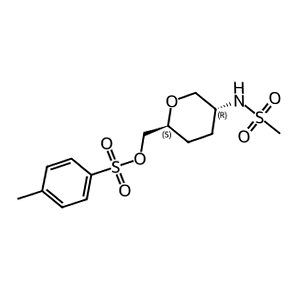 Cc1ccc(S(=O)(=O)OC[C@@H]2CC[C@@H](NS(C)(=O)=O)CO2)cc1